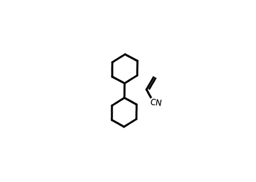 C1CCC(C2CCCCC2)CC1.C=CC#N